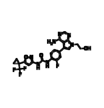 Nc1ncnc2c1c(-c1ccc(NC(=O)Nc3cc(C4(C(F)(F)F)CC4)on3)c(F)c1)cn2CCO